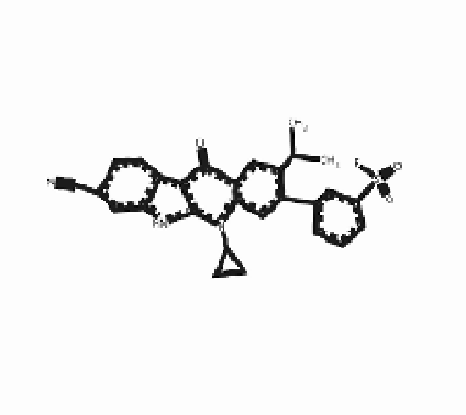 CC(C)c1cc2c(=O)c3c4ccc(C#N)cc4[nH]c3n(C3CC3)c2cc1-c1cccc(S(=O)(=O)F)c1